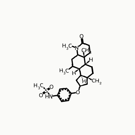 CC1CC2N(C)C(=O)CC[C@]2(C)[C@@H]2CC[C@]3(C)CC(Oc4ccc(NS(C)(=O)=O)cc4)C[C@H]3[C@H]12